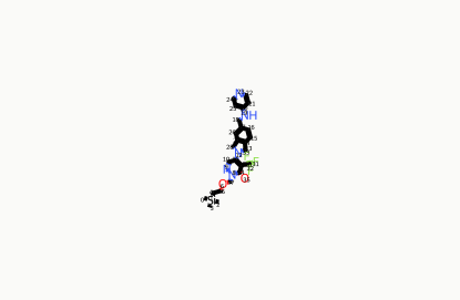 C[Si](C)(C)CCOCn1ncc(N2Cc3ccc(CNc4ccncc4)cc3C2)c(C(F)(F)F)c1=O